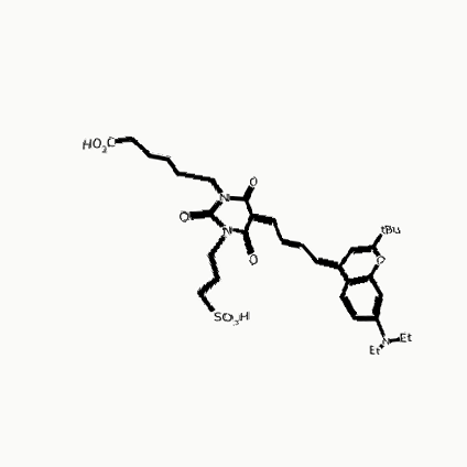 CCN(CC)c1ccc2c(c1)OC(C(C)(C)C)=CC2=CC=CC=C1C(=O)N(CCCCCC(=O)O)C(=O)N(CCCS(=O)(=O)O)C1=O